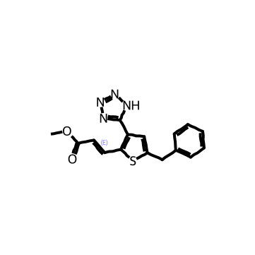 COC(=O)/C=C/c1sc(Cc2ccccc2)cc1-c1nnn[nH]1